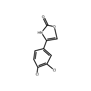 O=c1[nH]c(-c2ccc(Cl)c(Cl)c2)co1